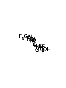 O=C(NCC12CCC(c3nc(-c4ncc(C(F)(F)F)cn4)no3)(CC1)CC2)c1cc(F)c(O)c(F)c1F